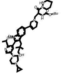 CCn1c(-c2cc(N3CCN(C4CC4)CC3)cnc2C(C)OC)c(CC(C)(C)CO)c2cc(C3=CCCN(CC(NC(=O)OC(C)(C)C)C(=O)N4CCC[C@@H](C(=O)O)N4)C3)ccc21